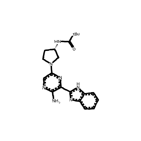 CC(C)(C)C(=O)N[C@H]1CCN(c2cnc(N)c(-c3nc4ccccc4[nH]3)n2)C1